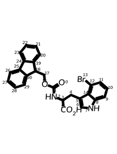 O=C(NC(Cc1c[nH]c2cccc(Br)c12)C(=O)O)OCC1c2ccccc2-c2ccccc21